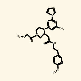 COCC(=O)N1CCN(c2cc(C)nc(-n3ccnc3)n2)C(CC(=O)NCCc2ccc(OC)cc2)C1